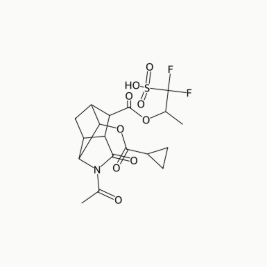 CC(=O)N1C(=O)C2C3CC(C(OC(=O)C4CC4)C31)C2C(=O)OC(C)C(F)(F)S(=O)(=O)O